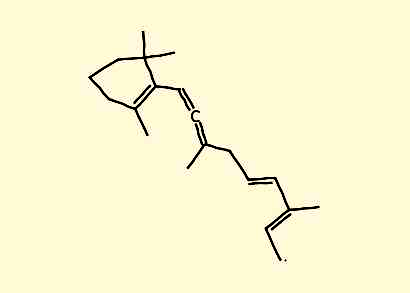 [CH2]C=C(C)C=CCC(C)=C=CC1=C(C)CCCC1(C)C